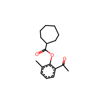 CC(=O)c1cccc(C)c1OC(=O)C1CCCCCC1